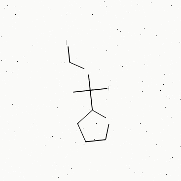 FCOC(F)(F)C1CCCO1